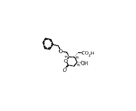 O=C(O)C[C@@H]1[C@H](O)CC(=O)O[C@H]1COCc1ccccc1